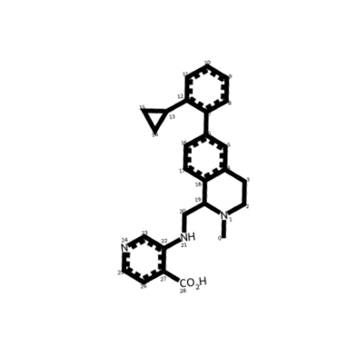 CN1CCc2cc(-c3ccccc3C3CC3)ccc2C1CNc1cnccc1C(=O)O